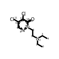 CCN(CC)CCn1ncc(Cl)c(Cl)c1=O